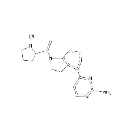 N#CN1CCCC1C(=O)N1CCc2c(-c3ccnc(N)n3)cccc21